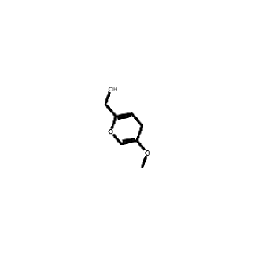 COC1=COC(CO)=CC1